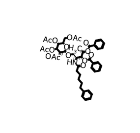 CC(=O)OCC1OC(OC[C@H](NC(=O)CCCCCc2ccccc2)[C@H](OC(=O)c2ccccc2)[C@@H](C)OC(=O)c2ccccc2)[C@@H](OC(C)=O)C(OC(C)=O)C1OC(C)=O